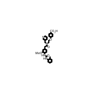 COc1cc(CC(=O)N(CCOc2ccc(C(=O)O)cc2)Cc2cccnc2)ccc1NC(=O)Nc1ccccc1C